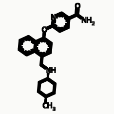 C[C@H]1CC[C@@H](NCc2ccc(Oc3ccc(C(N)=O)cn3)c3ccccc23)CC1